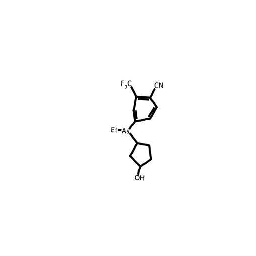 CC[As](c1ccc(C#N)c(C(F)(F)F)c1)C1CCC(O)C1